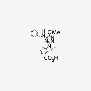 COc1nnc(N2c3cccc(C(=O)O)c3CC2C)nc1NCc1ccccc1